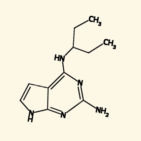 CCC(CC)Nc1nc(N)nc2[nH]ccc12